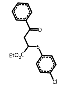 CCOC(=O)C(CC(=O)c1ccccc1)Sc1ccc(Cl)cc1